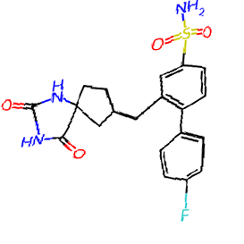 NS(=O)(=O)c1ccc(-c2ccc(F)cc2)c(CC2CCC3(C2)NC(=O)NC3=O)c1